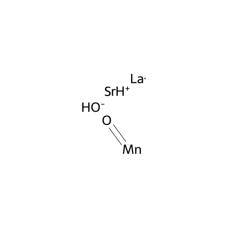 [La].[OH-].[O]=[Mn].[SrH+]